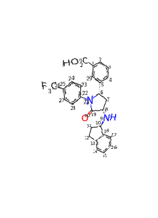 O=C(O)c1cccc([C@@H]2C[C@H](N[C@@H]3CCc4ccccc43)C(=O)N2c2ccc(C(F)(F)F)cc2)c1